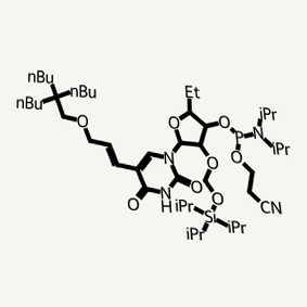 CCCCC(CCCC)(CCCC)COC/C=C/c1cn(C2OC(CC)C(OP(OCCC#N)N(C(C)C)C(C)C)C2OCO[Si](C(C)C)(C(C)C)C(C)C)c(=O)[nH]c1=O